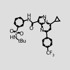 CC(C)(C)NS(=O)(=O)c1cccc(NC(=O)c2cnn3c(C4CC4)cc(-c4ccc(C(F)(F)F)cc4)nc23)c1